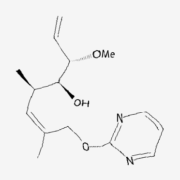 C=C[C@H](OC)[C@@H](O)[C@H](C)/C=C(/C)COc1ncccn1